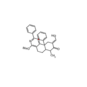 COc1nc(-c2ccccc2)nc2c1CCC1C(C)C(=O)C(=CO)CC21c1ccccc1